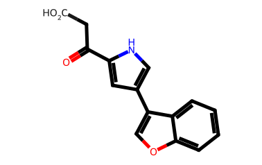 O=C(O)CC(=O)c1cc(-c2coc3ccccc23)c[nH]1